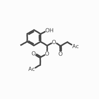 CC(=O)CC(=O)OC(OC(=O)CC(C)=O)c1cc(C)ccc1O